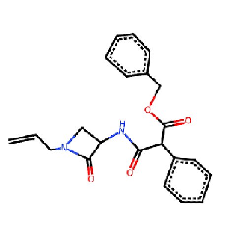 C=CCN1CC(NC(=O)C(C(=O)OCc2ccccc2)c2ccccc2)C1=O